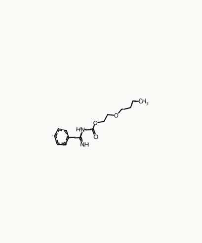 CCCCOCCOC(=O)NC(=N)c1cc[c]cc1